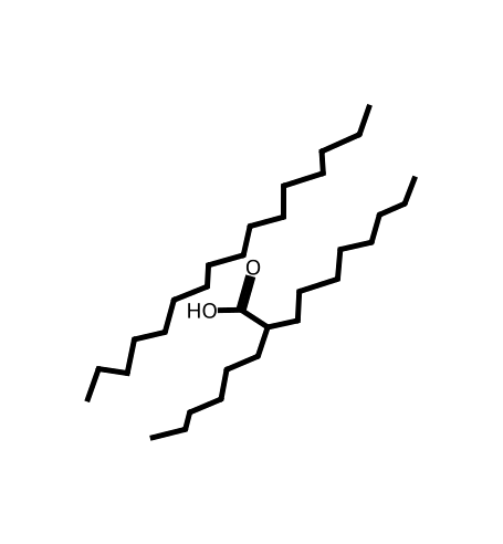 CCCCCCCCC(CCCCCC)C(=O)O.CCCCCCCCCCCCCCCC